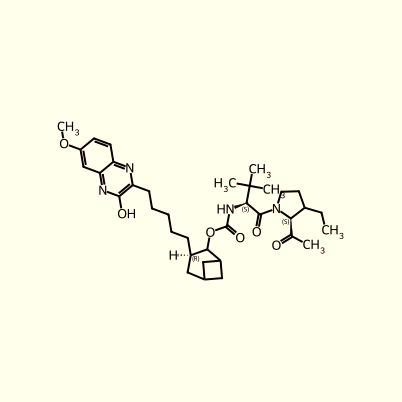 CCC1CCN(C(=O)[C@@H](NC(=O)OC2C3CC(C3)C[C@H]2CCCCCc2nc3ccc(OC)cc3nc2O)C(C)(C)C)[C@@H]1C(C)=O